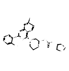 Cc1ccc2c(N3CCC[C@H](NC(=O)O[C@@H]4CCOC4)C3)nc(-c3ccccc3O)nc2c1